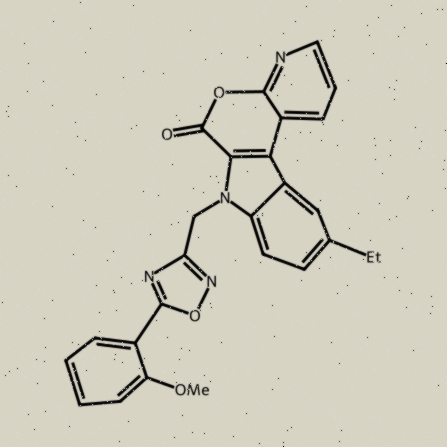 CCc1ccc2c(c1)c1c3cccnc3oc(=O)c1n2Cc1noc(-c2ccccc2OC)n1